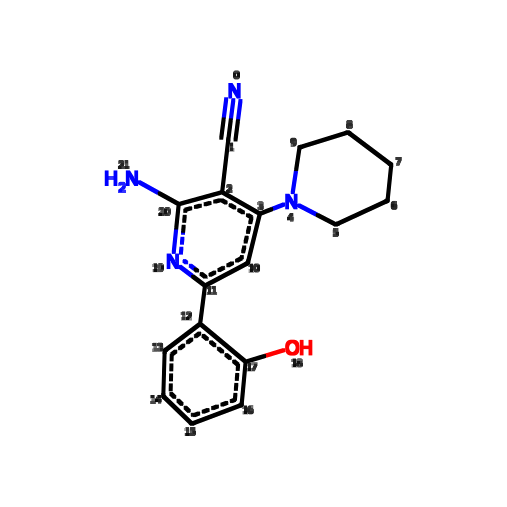 N#Cc1c(N2CCCCC2)cc(-c2ccccc2O)nc1N